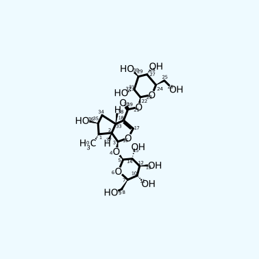 C[C@H]1[C@H]2[C@H](O[C@@H]3O[C@H](CO)[C@@H](O)[C@H](O)[C@H]3O)OC=C(C(=O)O[C@@H]3O[C@H](CO)[C@@H](O)[C@H](O)[C@H]3O)[C@H]2C[C@@H]1O